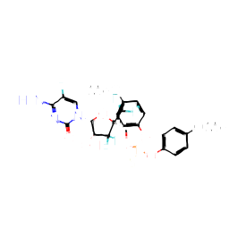 COc1ccc(OP(=S)(OC[C@@]2(C(F)F)O[C@@H](n3cc(F)c(N)nc3=O)[C@@H](O)C2(F)F)Oc2ccc(OC)cc2)cc1